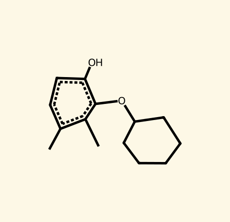 Cc1ccc(O)c(OC2CCCCC2)c1C